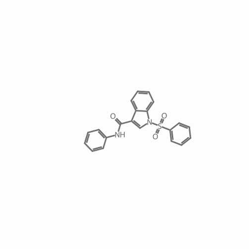 O=C(Nc1ccccc1)c1cn(S(=O)(=O)c2ccccc2)c2ccccc12